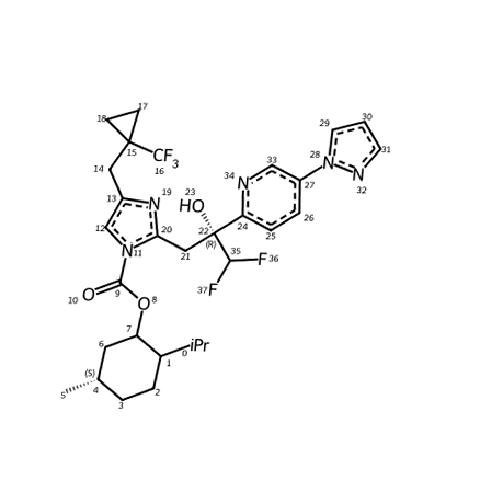 CC(C)C1CC[C@H](C)CC1OC(=O)n1cc(CC2(C(F)(F)F)CC2)nc1C[C@@](O)(c1ccc(-n2cccn2)cn1)C(F)F